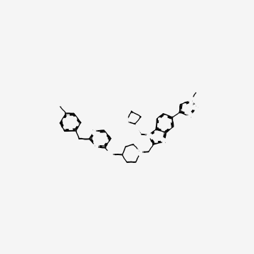 Cn1cc(-c2ccc3c(c2)nc(CN2CCC(Oc4ccnc(Cc5ccc(Cl)cc5)n4)CC2)n3C[C@@H]2CCO2)nn1